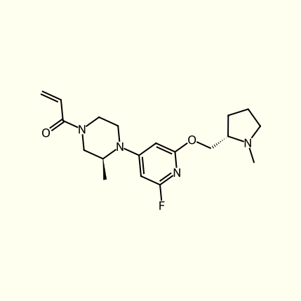 C=CC(=O)N1CCN(c2cc(F)nc(OC[C@@H]3CCCN3C)c2)[C@@H](C)C1